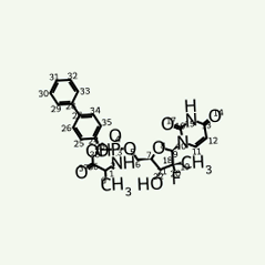 CC(NP(=O)(OC[C@H]1O[C@@H](n2ccc(=O)[nH]c2=O)[C@](C)(F)[C@@H]1O)Oc1ccc(-c2ccccc2)cc1)C(=O)O